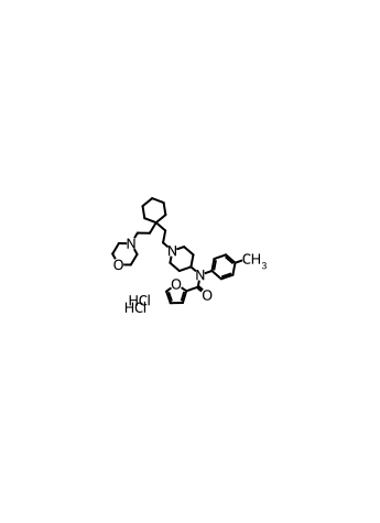 Cc1ccc(N(C(=O)c2ccco2)C2CCN(CCC3(CCN4CCOCC4)CCCCC3)CC2)cc1.Cl.Cl